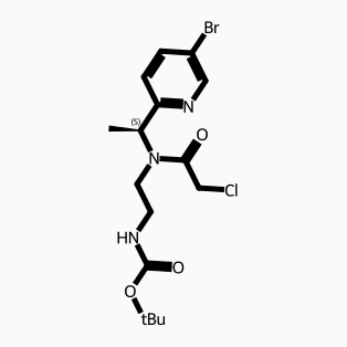 C[C@@H](c1ccc(Br)cn1)N(CCNC(=O)OC(C)(C)C)C(=O)CCl